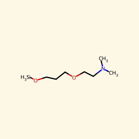 CN(C)CCOCCCO[SiH3]